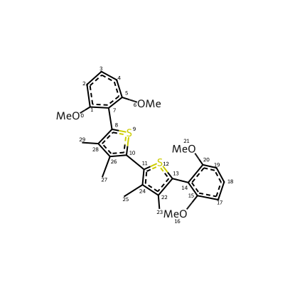 COc1cccc(OC)c1-c1sc(-c2sc(-c3c(OC)cccc3OC)c(C)c2C)c(C)c1C